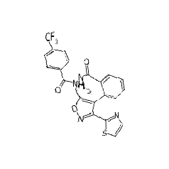 NC(=O)c1ccccc1-c1c(-c2nccs2)noc1NC(=O)c1ccc(C(F)(F)F)cc1